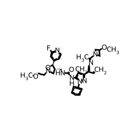 C=C/C(=C\N=C(/C)N1CC(OC)C1)c1nn(-c2ccccc2)c(NC(=O)NC[C@@H]2CN(CCOC)O[C@H]2c2ccnc(F)c2)c1C